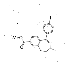 COC(=O)c1ccc2c(c1)CCC(C)C=C2c1ccc(I)cc1